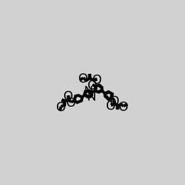 C=C(COC)C(=O)Oc1ccc(-c2ccc(OC(=O)C(=C)COC)c(-c3ncc(C4CCC(OC(=O)C(=C)COC)CC4)cn3)c2)cc1